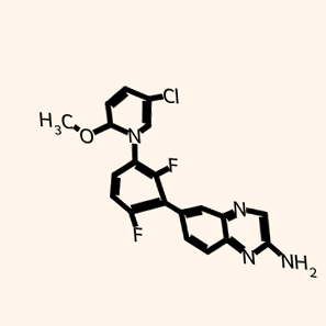 COC1C=CC(Cl)=CN1c1ccc(F)c(-c2ccc3nc(N)cnc3c2)c1F